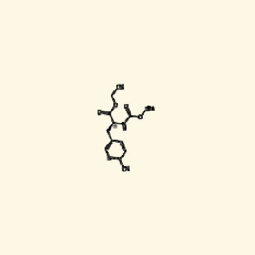 CC(C)(C)OC(=O)N[C@@H](Cc1ccc(C#N)nc1)C(=O)OCC#N